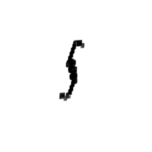 CCCCCCCCC1COC(c2ccc(-c3ccc(OCCCCCCC)cc3)nc2)OC1